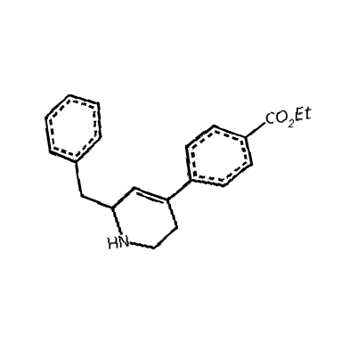 CCOC(=O)c1ccc(C2=CC(Cc3ccccc3)NCC2)cc1